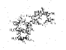 CCC(C)NCC(=O)N(CC(=O)N(CC(=O)N(CC(=O)N(CC(=O)N(CC(=O)N(CC(=O)N(CC(=O)N(CC(=O)N(CC(=O)N(CC(C)O)CC(C)N(CC(=O)N(CC(=O)N(CC(=O)N(CC(=O)N(CC(N)=O)CC(C)O)CC(C)O)CC(C)N=O)C(C)CC)CC(C)O)CC(C)O)C(C)CC)CC(C)O)CC(C)O)CC(C)O)C(C)CC)CC(C)O)CC(C)O)CC(C)O